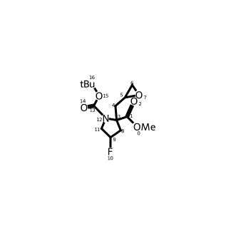 COC(=O)C1(CC2CO2)CC(F)CN1C(=O)OC(C)(C)C